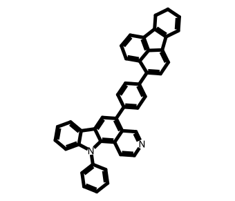 C1=CC2=C(CC1)c1cccc3c(-c4ccc(-c5cc6c7ccccc7n(-c7ccccc7)c6c6ccncc56)cc4)ccc2c13